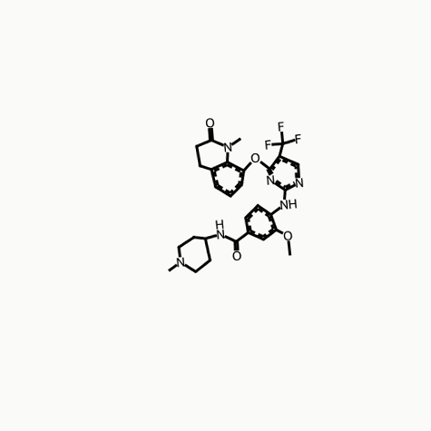 COc1cc(C(=O)NC2CCN(C)CC2)ccc1Nc1ncc(C(F)(F)F)c(Oc2cccc3c2N(C)C(=O)CC3)n1